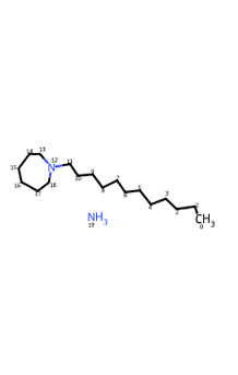 CCCCCCCCCCCCN1CCCCCC1.N